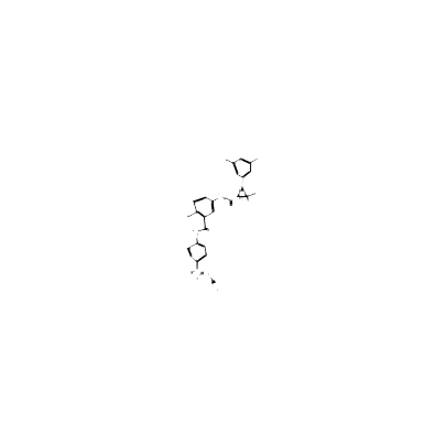 CS(=O)(=NC#N)c1ccc(NC(=O)c2cc(NC(=O)[C@@H]3[C@@H](c4cc(Cl)cc(Cl)c4)C3(Cl)Cl)ccc2Cl)cc1